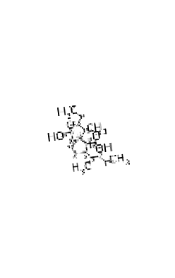 CCCC(C)c1ccc(C(=O)O)c(C(C)CCC)c1C(=O)O